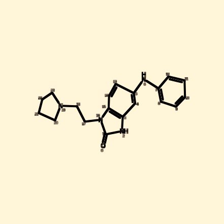 O=c1[nH]c2cc(Nc3ccccc3)ccc2n1CCN1CCCC1